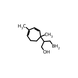 BCC(CO)C1(C)C=CC(C)=CCC1